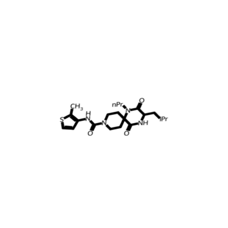 CCCN1C(=O)C(CC(C)C)NC(=O)C12CCN(C(=O)Nc1ccsc1C)CC2